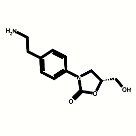 NCCc1ccc(N2C[C@H](CO)OC2=O)cc1